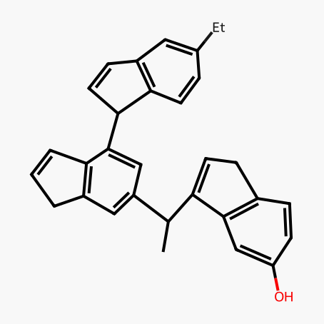 CCc1ccc2c(c1)C=CC2c1cc(C(C)C2=CCc3ccc(O)cc32)cc2c1C=CC2